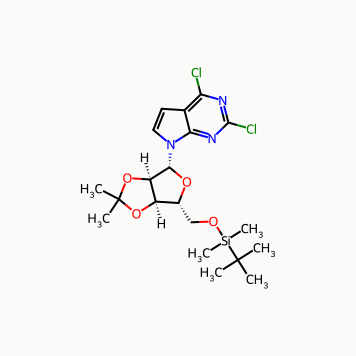 CC1(C)O[C@@H]2[C@H](O1)[C@@H](CO[Si](C)(C)C(C)(C)C)O[C@H]2n1ccc2c(Cl)nc(Cl)nc21